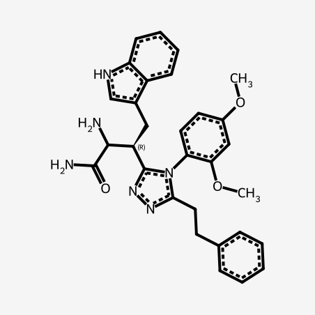 COc1ccc(-n2c(CCc3ccccc3)nnc2[C@H](Cc2c[nH]c3ccccc23)C(N)C(N)=O)c(OC)c1